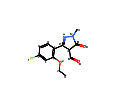 CCOc1cc(F)ccc1C1=NN(C)C(=O)C1C=O